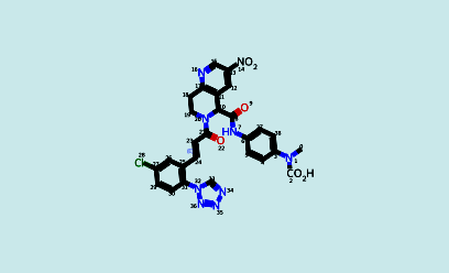 CN(C(=O)O)c1ccc(NC(=O)C2c3cc([N+](=O)[O-])cnc3CCN2C(=O)/C=C/c2cc(Cl)ccc2-n2cnnn2)cc1